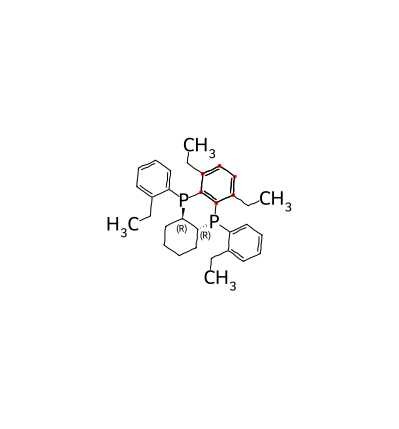 CCc1ccccc1P(c1ccccc1CC)[C@@H]1CCCC[C@H]1P(c1ccccc1CC)c1ccccc1CC